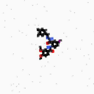 COc1ccc(C(=O)Nc2ccc(I)cc2C(=O)NN=Cc2ccc(C)c(C)c2)cc1OC